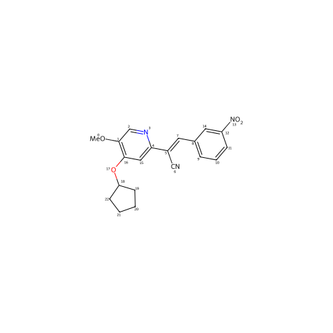 COc1cnc(C(C#N)=Cc2cccc([N+](=O)[O-])c2)cc1OC1CCCC1